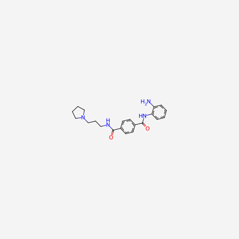 Nc1ccccc1NC(=O)c1ccc(C(=O)NCCCN2CCCC2)cc1